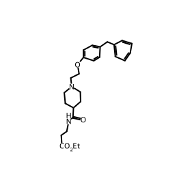 CCOC(=O)CCNC(=O)C1CCN(CCOc2ccc(Cc3ccccc3)cc2)CC1